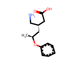 C[C@@H](C[C@H](CN)CC(=O)O)Oc1ccccc1